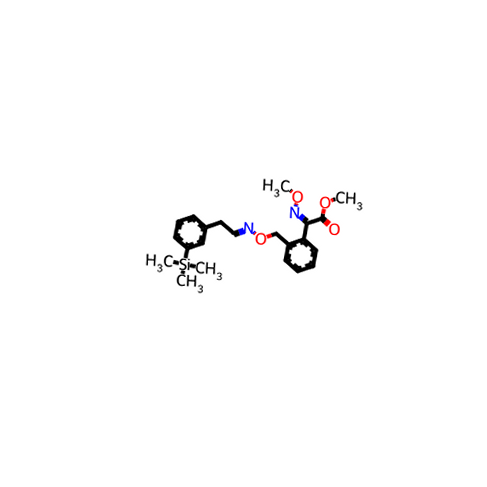 CON=C(C(=O)OC)c1ccccc1CON=CCc1cccc([Si](C)(C)C)c1